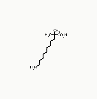 CC(C)(CCCCCCCCCN)C(=O)O